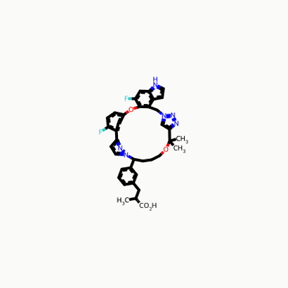 CC(Cc1cccc(C2CCCOC(C)(C)c3cn(nn3)Cc3c(c(F)cc4[nH]ccc34)Oc3ccc(F)c(c3)-c3ccn2n3)c1)C(=O)O